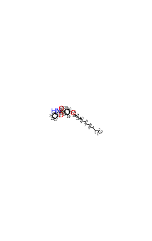 CCCCCCCCCCCCCCOc1ccc(S(=O)(=O)Nc2cc[c]cc2)cc1